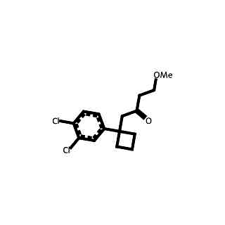 COCCC(=O)CC1(c2ccc(Cl)c(Cl)c2)CCC1